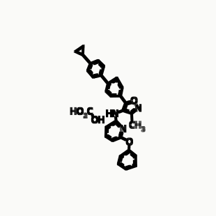 Cc1noc(-c2ccc(-c3ccc(C4CC4)cc3)cc2)c1Nc1cccc(Oc2ccccc2)n1.O=C(O)O